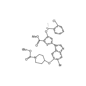 COC(=O)c1sc(-n2cnc3cc(Br)c(OC4CCN(C(=O)OC(C)(C)C)CC4)cc32)cc1O[C@H](C)c1ccccc1Cl